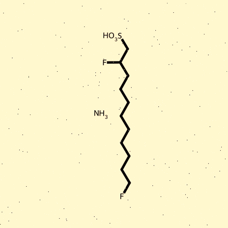 N.O=S(=O)(O)CC(F)CCCCCCCCCF